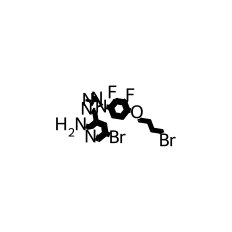 Nc1ncc(Br)cc1-c1nnnn1-c1ccc(OCCCCBr)c(F)c1F